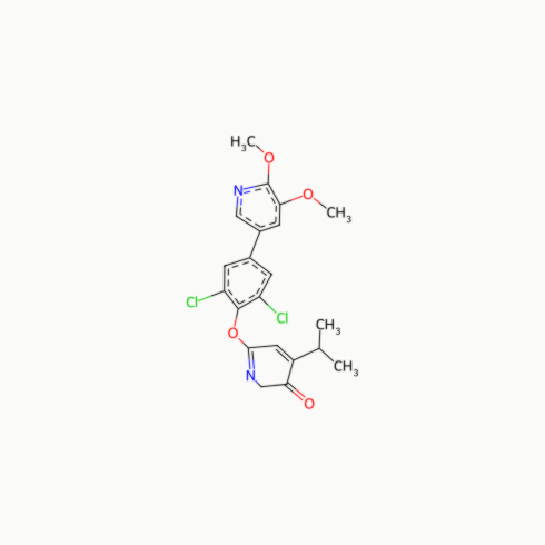 COc1cc(-c2cc(Cl)c(OC3=NCC(=O)C(C(C)C)=C3)c(Cl)c2)cnc1OC